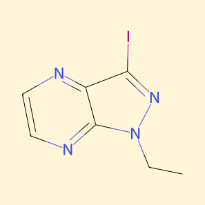 CCn1nc(I)c2nccnc21